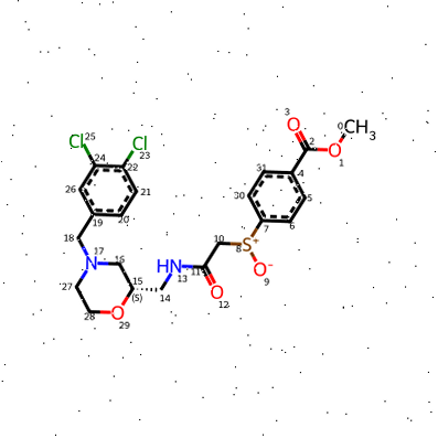 COC(=O)c1ccc([S+]([O-])CC(=O)NC[C@H]2CN(Cc3ccc(Cl)c(Cl)c3)CCO2)cc1